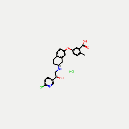 Cc1ccc(Oc2ccc3c(c2)C[C@@H](NC[C@@H](O)c2ccc(Cl)nc2)CC3)cc1C(=O)O.Cl